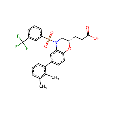 Cc1cccc(-c2ccc3c(c2)N(S(=O)(=O)c2cccc(C(F)(F)F)c2)C[C@H](CCC(=O)O)O3)c1C